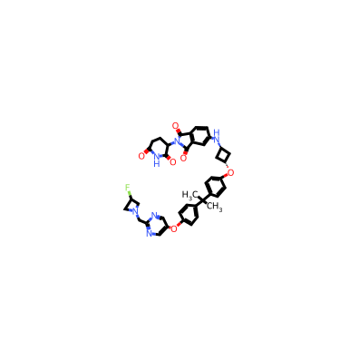 CC(C)(c1ccc(Oc2cnc(CN3CC(F)C3)nc2)cc1)c1ccc(O[C@H]2C[C@H](Nc3ccc4c(c3)C(=O)N(C3CCC(=O)NC3=O)C4=O)C2)cc1